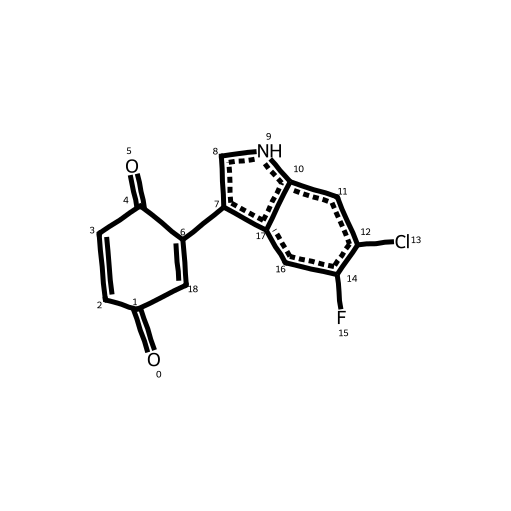 O=C1C=CC(=O)C(c2c[nH]c3cc(Cl)c(F)cc23)=C1